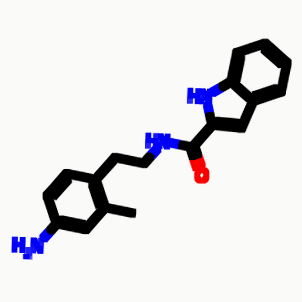 Cc1cc(N)ccc1CCNC(=O)c1cc2ccccc2[nH]1